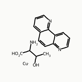 CC(O)C(N)C(=O)O.[Cu].c1cnc2c(c1)ccc1ncccc12